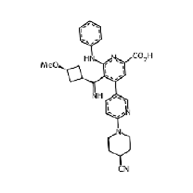 CO[C@H]1C[C@@H](C(=N)c2c(-c3ccc(N4CCC(C#N)CC4)nc3)cc(C(=O)O)nc2Nc2ccccc2)C1